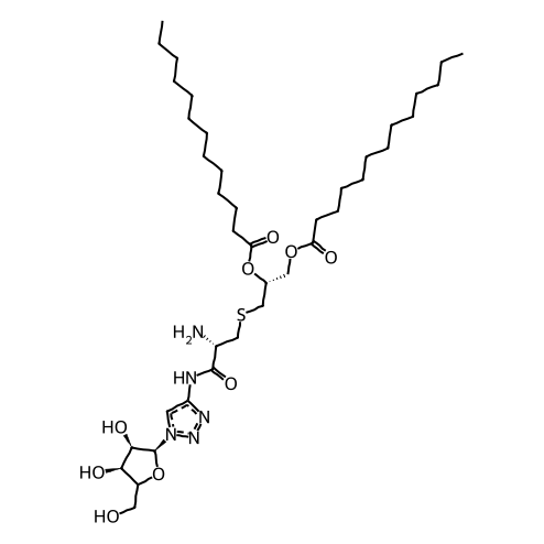 CCCCCCCCCCCCC(=O)OC[C@H](CSC[C@@H](N)C(=O)Nc1cn([C@H]2OC(CO)[C@@H](O)[C@H]2O)nn1)OC(=O)CCCCCCCCCCCC